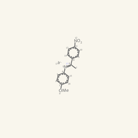 COc1ccc(/N=C(\C)c2ccc([N+](=O)[O-])cc2)cc1.[Ir]